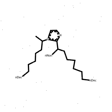 CCCCCCCCCCCCCCCCC(CCCCCCCCC)c1nccn1C(C)CCCCCCCCCCCCCCC